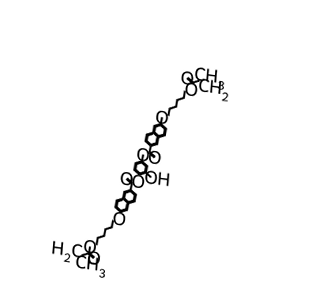 C=C(C)C(=O)OCCCCCCOc1ccc2cc(C(=O)Oc3ccc(OC(=O)c4ccc5cc(OCCCCCCOC(=O)C(=C)C)ccc5c4)c(O)c3)ccc2c1